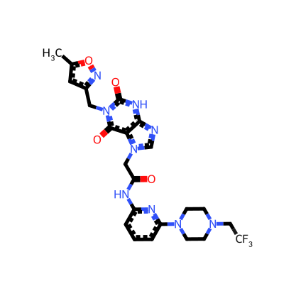 Cc1cc(Cn2c(=O)[nH]c3ncn(CC(=O)Nc4cccc(N5CCN(CC(F)(F)F)CC5)n4)c3c2=O)no1